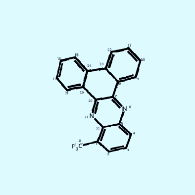 FC(F)(F)c1cccc2nc3c4ccccc4c4ccccc4c3nc12